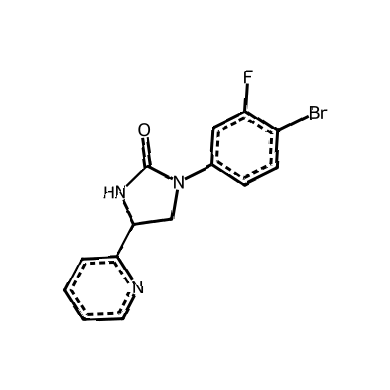 O=C1NC(c2ccccn2)CN1c1ccc(Br)c(F)c1